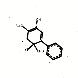 COC1=C(O)C=C(c2ccccc2)C(Cl)(C=O)C1